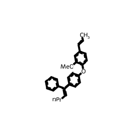 C/C=C/c1ccc(Oc2ccc(/C(=C/CCC)c3ccccc3)cc2)c(OC)c1